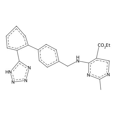 CCOC(=O)c1cnc(C)nc1NCc1ccc(-c2ccccc2-c2nnn[nH]2)cc1